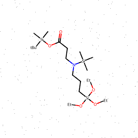 CCO[Si](CCCN(CCC(=O)O[Si](C)(C)C(C)(C)C)[Si](C)(C)C)(OCC)OCC